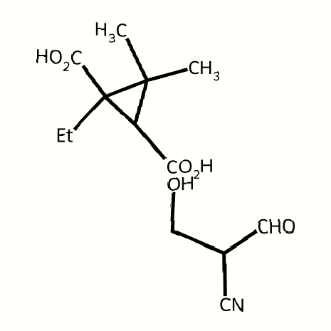 CCC1(C(=O)O)C(C(=O)O)C1(C)C.N#CC(C=O)CO